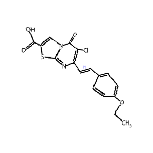 CCOc1ccc(/C=C/c2nc3sc(C(=O)O)cn3c(=O)c2Cl)cc1